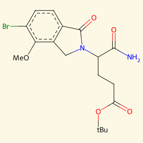 COc1c(Br)ccc2c1CN(C(CCC(=O)OC(C)(C)C)C(N)=O)C2=O